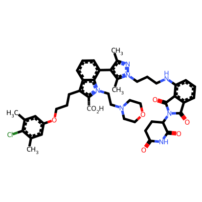 Cc1cc(OCCCc2c(C(=O)O)n(CCN3CCOCC3)c3c(-c4c(C)nn(CCCNc5cccc6c5C(=O)N(C5CCC(=O)NC5=O)C6=O)c4C)cccc23)cc(C)c1Cl